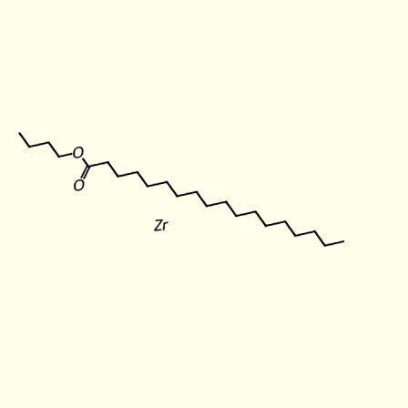 CCCCCCCCCCCCCCCCCC(=O)OCCCC.[Zr]